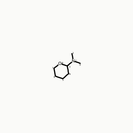 CN(C)[C]1CCCCO1